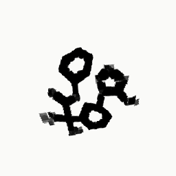 CCCCC(N)(C(=O)Oc1ccccc1)c1cccc(-n2nnnc2C)c1